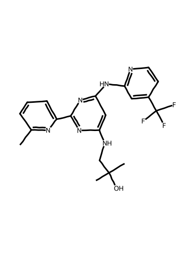 Cc1cccc(-c2nc(NCC(C)(C)O)cc(Nc3cc(C(F)(F)F)ccn3)n2)n1